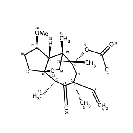 C=C[C@]1(C)C[C@@H](OC(=O)Cl)[C@]2(C)[C@H](C)CC[C@]3(CC[C@@H](OC)[C@@H]32)[C@@H](C)C1=O